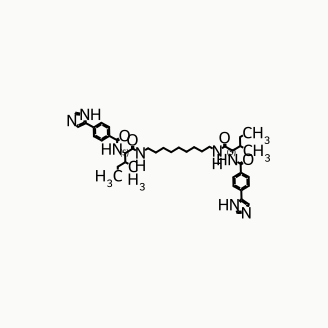 CCC(C)[C@H](NC(=O)c1ccc(-c2cnc[nH]2)cc1)C(=O)NCCCCCCCCCNC(=O)[C@@H](NC(=O)c1ccc(-c2cnc[nH]2)cc1)C(C)CC